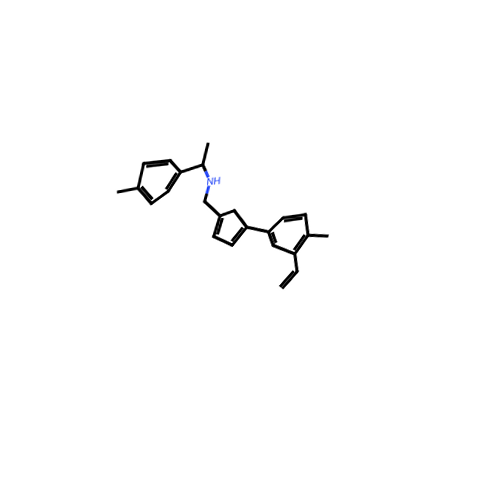 C=Cc1cc(C2=CC=C(CNC(C)c3ccc(C)cc3)C2)ccc1C